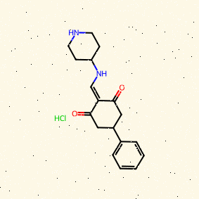 Cl.O=C1CC(c2ccccc2)CC(=O)C1=CNC1CCNCC1